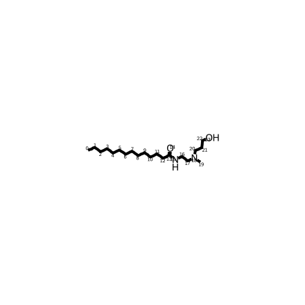 CCCCCCCCCCCCCC(=O)NCCN(C)CCCO